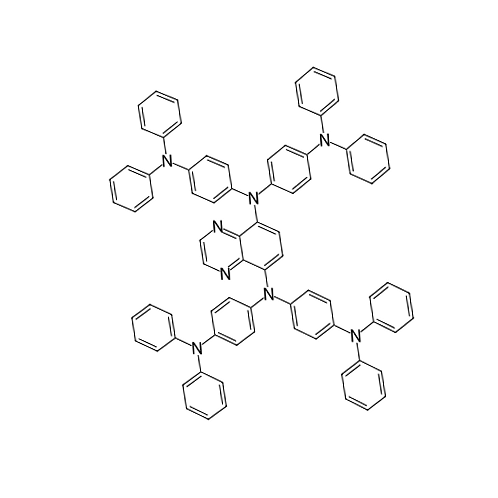 c1ccc(N(c2ccccc2)c2ccc(N(c3ccc(N(c4ccccc4)c4ccccc4)cc3)c3ccc(N(c4ccc(N(c5ccccc5)c5ccccc5)cc4)c4ccc(N(c5ccccc5)c5ccccc5)cc4)c4nccnc34)cc2)cc1